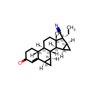 CC[C@]1(C#N)[C@H]2C[C@H]2[C@H]2[C@@H]3[C@H]4C[C@H]4C4=CC(=O)CC[C@@H]4[C@H]3CC[C@@]21C